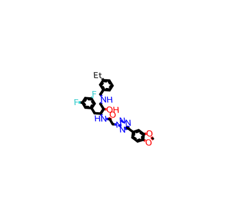 CCc1cccc(CNCC(O)C(Cc2cc(F)cc(F)c2)NC(=O)Cn2nnc(-c3ccc4c(c3)OCO4)n2)c1